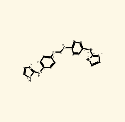 c1c[nH]c(Nc2ccc(OCOc3ccc(Nc4ncc[nH]4)cc3)cc2)n1